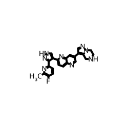 Cc1nc(-c2n[nH]cc2-c2ccc3ncc(-c4cnn5c4CNCC5)cc3n2)ccc1F